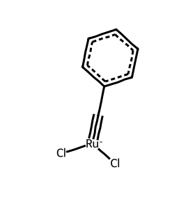 [Cl][Ru-]([Cl])#[C]c1ccccc1